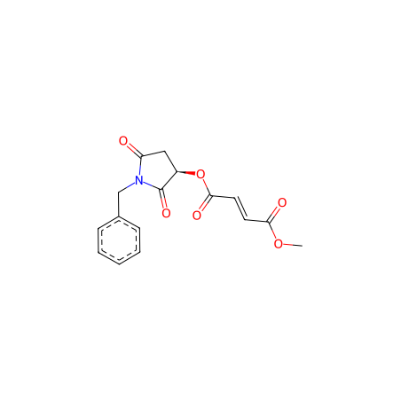 COC(=O)/C=C/C(=O)O[C@@H]1CC(=O)N(Cc2ccccc2)C1=O